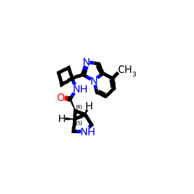 Cc1cccn2c(C3(NC(=O)[C@H]4[C@@H]5CNC[C@@H]54)CCC3)ncc12